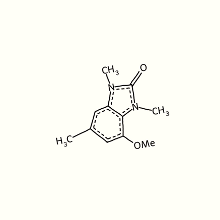 COc1cc(C)cc2c1n(C)c(=O)n2C